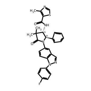 Cc1ncsc1C(=O)N[C@@H]1[C@@H](c2ccccc2)N(c2ccc3c(cnn3-c3ccc(F)cc3)c2)C(=O)C1(C)C